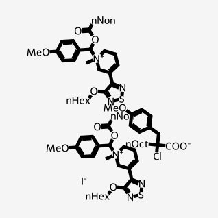 CCCCCCCCC(Cl)(Cc1ccc(OC)cc1)C(=O)[O-].CCCCCCCCCC(=O)OC(c1ccc(OC)cc1)[N+]1(C)CCC=C(c2nsnc2OCCCCCC)C1.CCCCCCCCCC(=O)OC(c1ccc(OC)cc1)[N+]1(C)CCC=C(c2nsnc2OCCCCCC)C1.[I-]